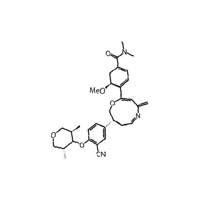 C=C1/C=C(/C2=CC=C(C(=O)N(C)C)C[C@@H]2OC)OC[C@@H](c2ccc(OC3[C@H](C)COC[C@H]3C)c(C#N)c2)C/C=N\1